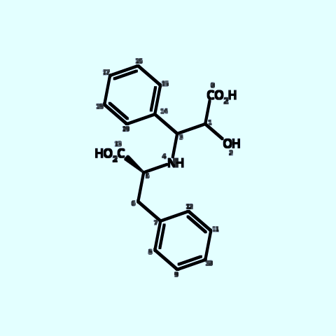 O=C(O)C(O)C(N[C@@H](Cc1ccccc1)C(=O)O)c1ccccc1